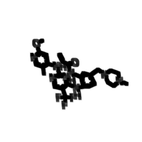 C=CC(=O)Nc1cc(CN2CCN(C)CC2)ccc1Nc1nc(Nc2cc(OC)ncc2C)ncc1C(F)(F)F